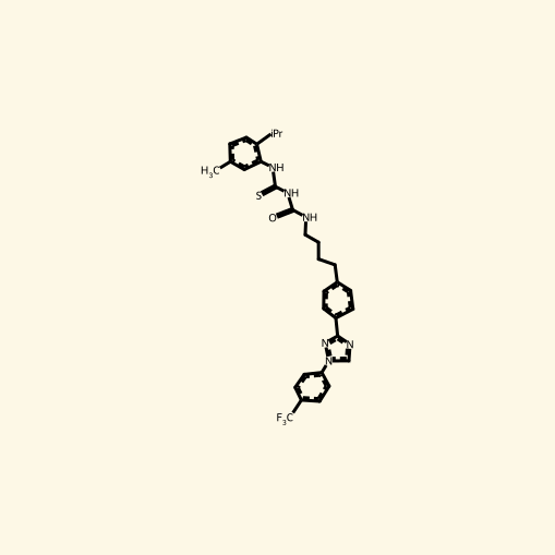 Cc1ccc(C(C)C)c(NC(=S)NC(=O)NCCCCc2ccc(-c3ncn(-c4ccc(C(F)(F)F)cc4)n3)cc2)c1